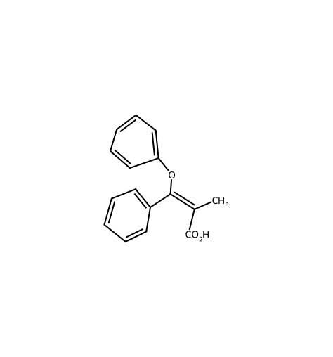 CC(C(=O)O)=C(Oc1ccccc1)c1ccccc1